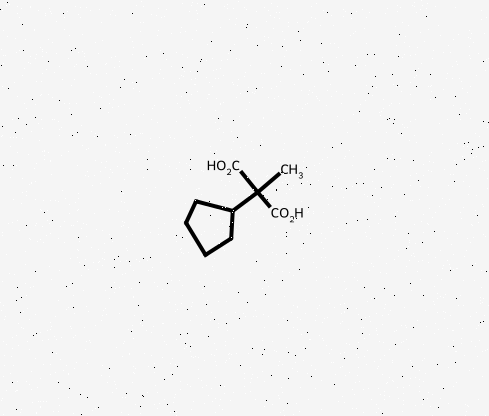 CC(C(=O)O)(C(=O)O)C1CCCC1